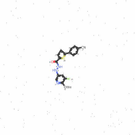 COc1ncc(NNC(=O)c2ccc(-c3ccc(C#N)cc3)s2)cc1F